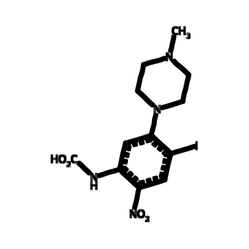 CN1CCN(c2cc(NC(=O)O)c([N+](=O)[O-])cc2I)CC1